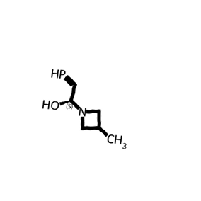 CC1CN([C@@H](O)C=P)C1